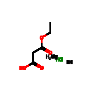 CCOC(=O)CC(=O)O.Cl.[KH].[MgH2]